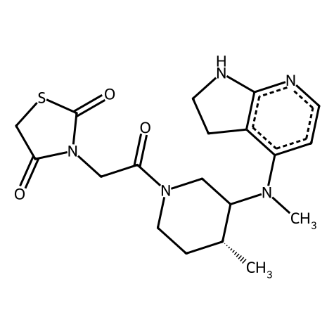 C[C@@H]1CCN(C(=O)CN2C(=O)CSC2=O)CC1N(C)c1ccnc2c1CCN2